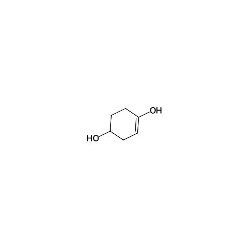 OC1=CCC(O)CC1